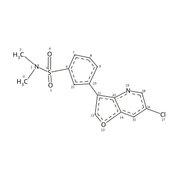 CN(C)S(=O)(=O)c1cccc(-c2coc3cc(Cl)cnc23)c1